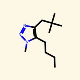 CCCCc1c(CC(C)(C)C)nnn1C